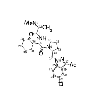 CN[C@@H](C)C(=O)N[C@H](C(=O)N1CCC[C@H]1Cn1nc(C(C)=O)c2cc(Cl)ccc21)C1CCCCC1